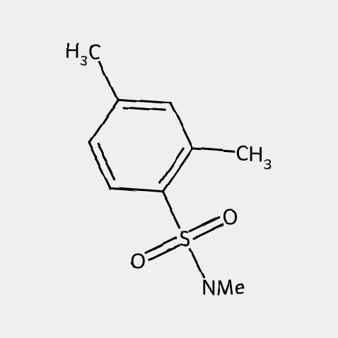 CNS(=O)(=O)c1ccc(C)cc1C